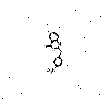 O=c1oc(Cc2ccc([N+](=O)[O-])cc2)nc2ccccc12